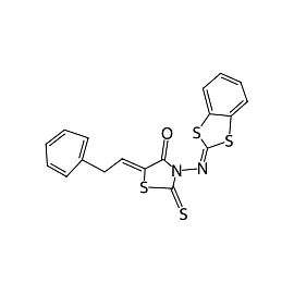 O=C1C(=CCc2ccccc2)SC(=S)N1N=c1sc2ccccc2s1